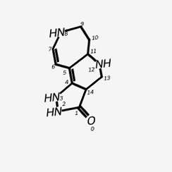 O=C1NNC2=C3C=CNCCC3NCC12